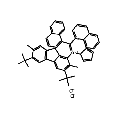 Cc1cc2c(cc1C(C)(C)C)-c1cc(C(C)(C)C)c(C)[c]([Zr+2](=[C](c3cccc4ccccc34)c3cccc4ccccc34)[CH]3C=CC=C3)c1C2.[Cl-].[Cl-]